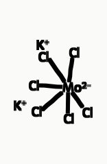 [Cl][Mo-2]([Cl])([Cl])([Cl])([Cl])[Cl].[K+].[K+]